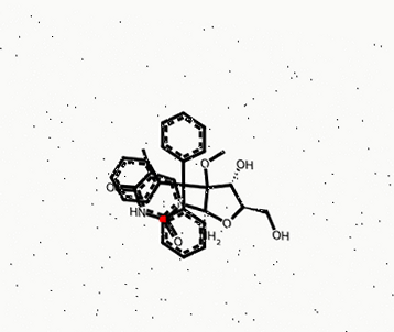 COC1(C(c2ccccc2)(c2ccccc2)c2ccccc2)[C@H](O)[C@@H](CO)O[C@@]1(N)n1cc(C)c(=O)[nH]c1=O